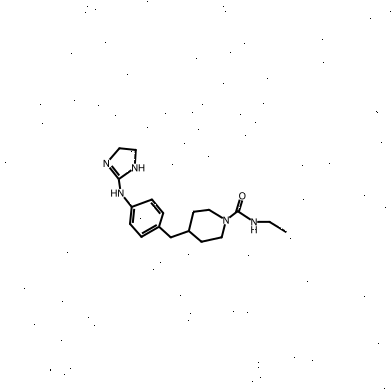 CCNC(=O)N1CCC(Cc2ccc(NC3=NCCN3)cc2)CC1